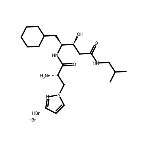 Br.Br.CC(C)CNC(=O)C[C@H](O)[C@H](CC1CCCCC1)NC(=O)[C@@H](N)Cn1cccn1